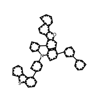 c1ccc(-c2cccc(-c3ccc(N(c4ccc(-c5cccc6sc7ccccc7c56)cc4)c4ccccc4-c4cccc5oc6c7ccccc7ccc6c45)cc3)c2)cc1